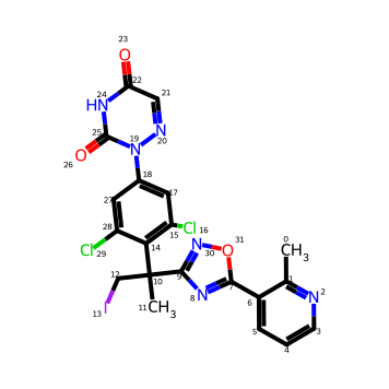 Cc1ncccc1-c1nc(C(C)(CI)c2c(Cl)cc(-n3ncc(=O)[nH]c3=O)cc2Cl)no1